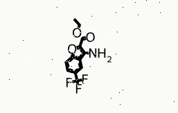 CCOC(=O)c1oc2ccc(C(F)(F)F)cc2c1N